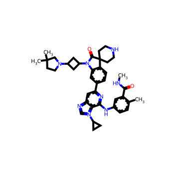 CNC(=O)c1cc(Nc2nc(-c3ccc4c(c3)N(C3CC(N5CCC(C)(C)C5)C3)C(=O)C43CCNCC3)cc3ncn(C4CC4)c23)ccc1C